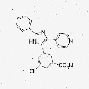 O=C(O)C1=CC(Cl)=CC(c2[nH]c(-c3ccccc3)nc2-c2ccncc2)C1